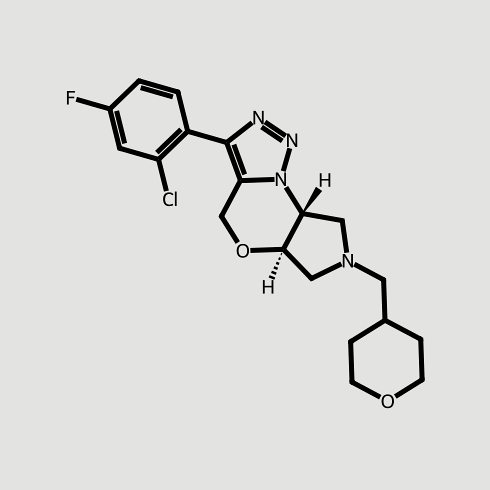 Fc1ccc(-c2nnn3c2CO[C@@H]2CN(CC4CCOCC4)C[C@H]23)c(Cl)c1